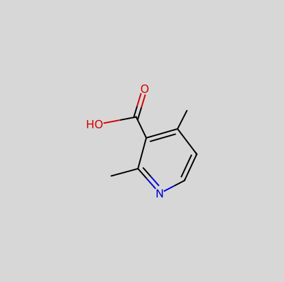 Cc1ccnc(C)c1C(=O)O